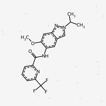 COc1cc2nn(C(C)C)cc2cc1NC(=O)c1cccc(C(F)(F)F)n1